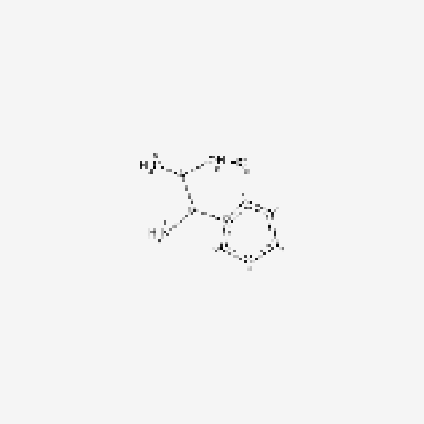 CC(O)C(N)c1ccccc1.Cl